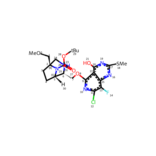 COC[C@@]12CC[C@@H]([C@@H](COc3nc(Cl)c(F)c4nc(SC)nc(O)c34)NC1)N2C(=O)OC(C)(C)C